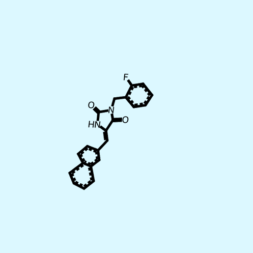 O=C1N/C(=C\c2ccc3ccccc3c2)C(=O)N1Cc1ccccc1F